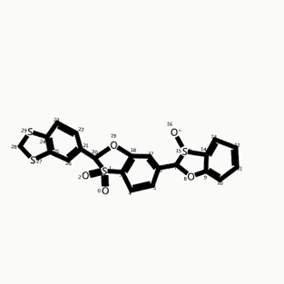 O=S1(=O)c2ccc(C3Oc4ccccc4[S+]3[O-])cc2OC1c1ccc2c(c1)SCS2